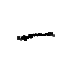 CCCCCCCCCCCC=Cc1ccc(CCC(=O)OC)cc1